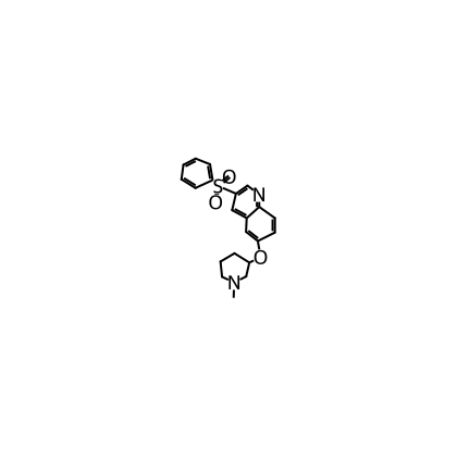 CN1CCCC(Oc2ccc3ncc(S(=O)(=O)c4ccccc4)cc3c2)C1